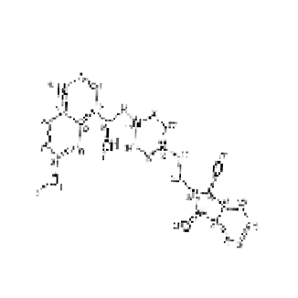 COc1ccc2nccc([C@H](O)CN3CCN(CCN4C(=O)c5ccccc5C4=O)CC3)c2c1